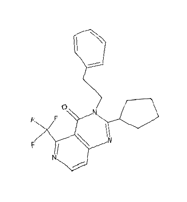 O=c1c2c(C(F)(F)F)nccc2nc(C2CCCC2)n1CCc1ccccc1